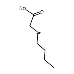 CCCC[Se]CC(=O)O